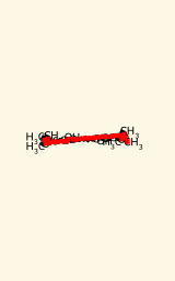 CCO[Si](CCCSCCCOCC(O)COCCCCCCCCCCOCC(O)COCCCSCCC[Si](OCC)(OCC)OCC)(OCC)OCC